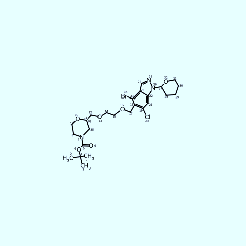 CC(C)(C)OC(=O)N1CCO[C@@H](COCCOCc2c(Cl)cc3c(cnn3C3CCCCO3)c2Br)C1